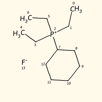 CC[P+](CC)(CC)C1CCCCC1.[F-]